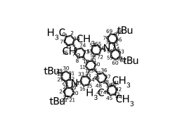 Cc1cc(C)c(-c2ccc(-c3cc(-c4cccc(-n5c6ccc(C(C)(C)C)cc6c6cc(C(C)(C)C)ccc65)c4)c(-c4ccc(-c5c(C)cc(C)cc5C)cc4)cc3-c3cccc(-n4c5ccc(C(C)(C)C)cc5c5cc(C(C)(C)C)ccc54)c3)cc2)c(C)c1